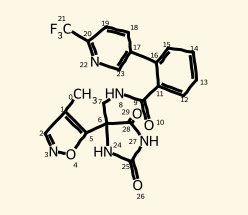 Cc1cnoc1C1(CNC(=O)c2ccccc2-c2ccc(C(F)(F)F)nc2)NC(=O)NC1=O